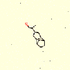 [CH2]C(C=O)C1CC2C3CCC(C3)C2C1